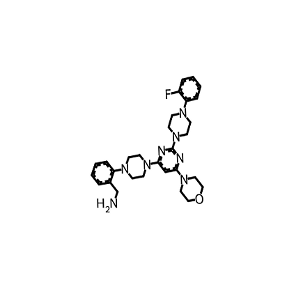 NCc1ccccc1N1CCN(c2cc(N3CCOCC3)nc(N3CCN(c4ccccc4F)CC3)n2)CC1